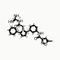 Cc1cc(C(=O)Nc2cccc(-c3ccc(-c4ccccc4)n3CC(=O)NC(=N)N)c2)no1